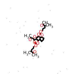 CC(=O)c1cc2c(OC(=O)OCCC[C@H](C)C(C)=O)c3ccccc3c(OC(=O)OCCC[C@H](C)C(C)=O)c2o1